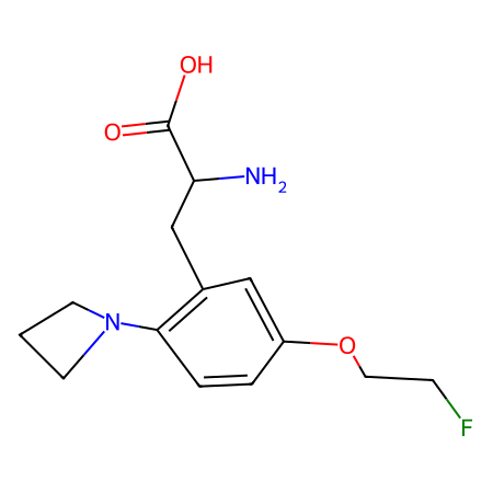 NC(Cc1cc(OCCF)ccc1N1CCC1)C(=O)O